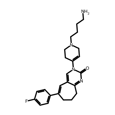 NCCCCN1CC=C(n2cc3c(nc2=O)CCCC(c2ccc(F)cc2)=C3)CC1